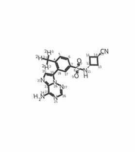 [2H]C([2H])([2H])c1ccc(S(=O)(=O)N[C@H]2C[C@H](C#N)C2)cc1-c1cnc2c(N)ncnn12